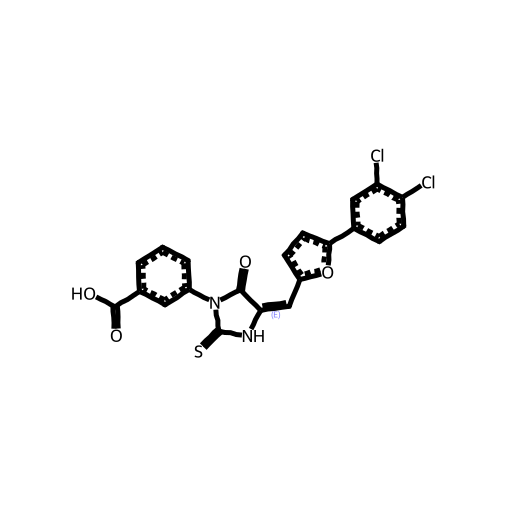 O=C(O)c1cccc(N2C(=O)/C(=C\c3ccc(-c4ccc(Cl)c(Cl)c4)o3)NC2=S)c1